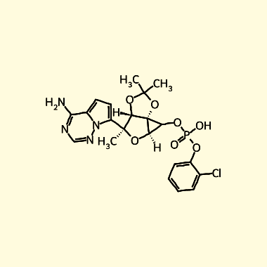 CC1(C)O[C@@H]2[C@@]3(O1)C(OP(=O)(O)Oc1ccccc1Cl)[C@H]3O[C@@]2(C)c1ccc2c(N)ncnn12